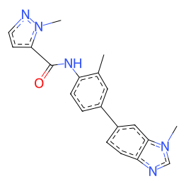 Cc1cc(-c2ccc3ncn(C)c3c2)ccc1NC(=O)c1ccnn1C